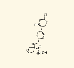 O=C(NO)C1(NCc2ccc(-c3ccc(Cl)cc3F)cc2)CCOC1